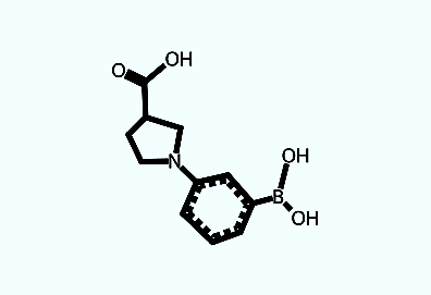 O=C(O)C1CCN(c2cccc(B(O)O)c2)C1